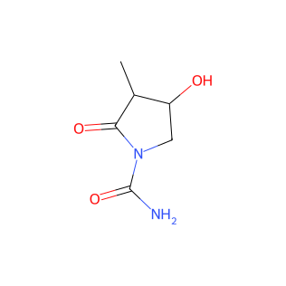 CC1C(=O)N(C(N)=O)CC1O